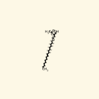 CCCCCCCCC=CCCCCCCCCOOCC(CO)OC(C)=O